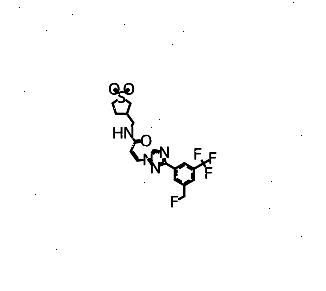 O=C(/C=C\n1cnc(-c2cc(CF)cc(C(F)(F)F)c2)n1)NCC1CCS(=O)(=O)C1